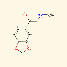 O=CNCC(O)c1ccc2c(c1)OCO2